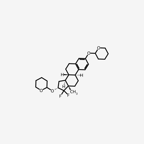 C[C@]12CC[C@@H]3c4ccc(OC5CCCCO5)cc4CC[C@H]3[C@@H]1C[C@@H](OC1CCCCO1)C2(F)F